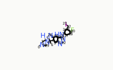 CN1CCN(C(C)(C)c2cc3ncnc(Nc4ccc(F)c(CI)c4)c3cc2N)CC1